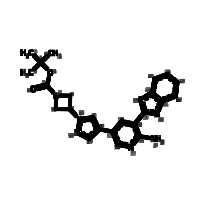 CC(C)(C)OC(=O)N1CC(n2cc(-c3cnc(N)c(-c4nc5ccccc5s4)c3)cn2)C1